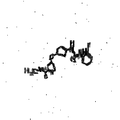 CNC(=O)c1cc(Oc2ccc(NC(=O)Nc3ccccc3F)cc2)ccn1